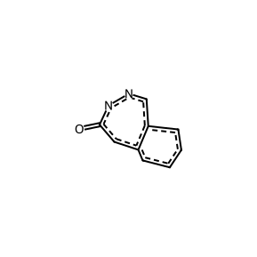 O=c1cc2ccccc2cnn1